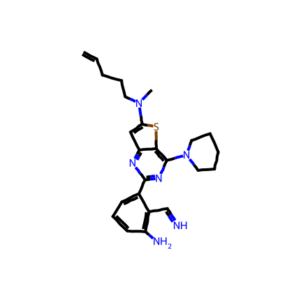 C=CCCCN(C)c1cc2nc(-c3cccc(N)c3C=N)nc(N3CCCCC3)c2s1